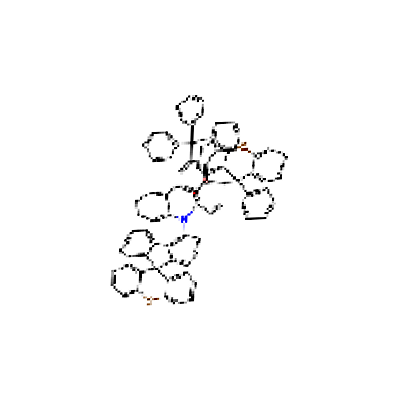 c1ccc(C2(c3ccccc3)c3ccccc3-c3ccc(-c4ccccc4N(c4ccc5c(c4)-c4ccccc4C54c5ccccc5Sc5ccccc54)c4cccc5c4-c4ccccc4C54c5ccccc5Sc5ccccc54)cc32)cc1